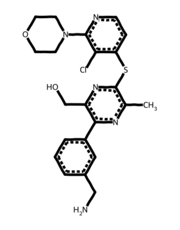 Cc1nc(-c2cccc(CN)c2)c(CO)nc1Sc1ccnc(N2CCOCC2)c1Cl